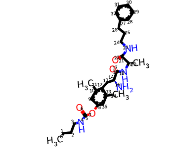 CCCCNC(=O)Oc1cc(C)c(C[C@H](N)C(=O)N[C@H](C)C(=O)NCCCc2ccccc2)c(C)c1